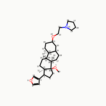 CO[C@@]12CCC(c3ccoc3)[C@@]1(C)CC[C@@H]1[C@H]2CCC2CC(OCCN3CCCC3)CC[C@@]21C